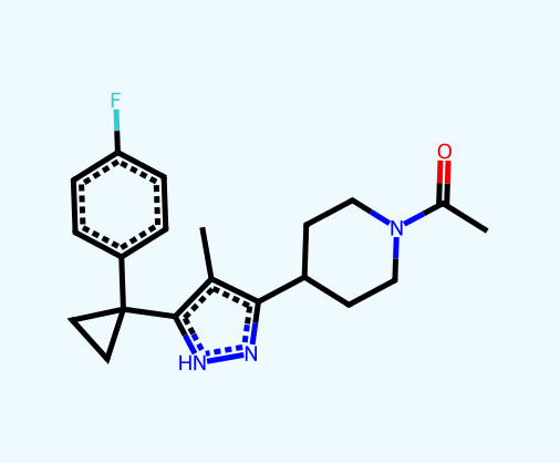 CC(=O)N1CCC(c2n[nH]c(C3(c4ccc(F)cc4)CC3)c2C)CC1